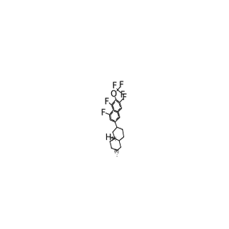 C[C@@H]1CC[C@@H]2CC(c3cc(F)c4c(F)c(OC(F)(F)F)c(F)cc4c3)CCC2C1